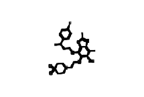 CC(=O)c1c(OCCN2CCS(=O)(=O)CC2)c(OCCC(C)c2ccc(F)cc2)c2oc(C)nc2c1C